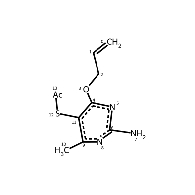 C=CCOc1nc(N)nc(C)c1SC(C)=O